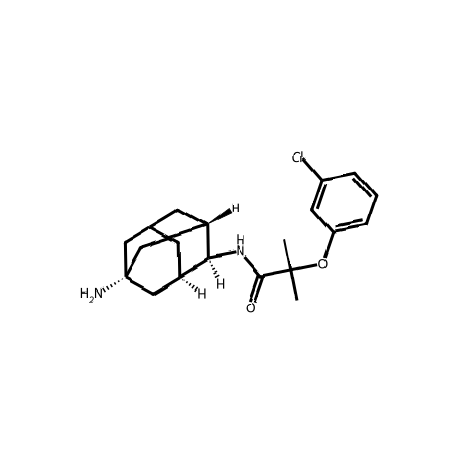 CC(C)(Oc1cccc(Cl)c1)C(=O)N[C@H]1[C@@H]2CC3C[C@H]1C[C@](N)(C3)C2